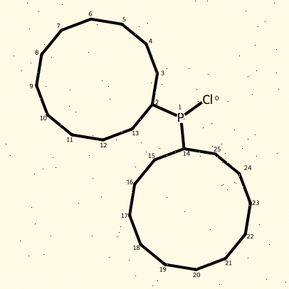 ClP(C1CCCCCCCCCCC1)C1CCCCCCCCCCC1